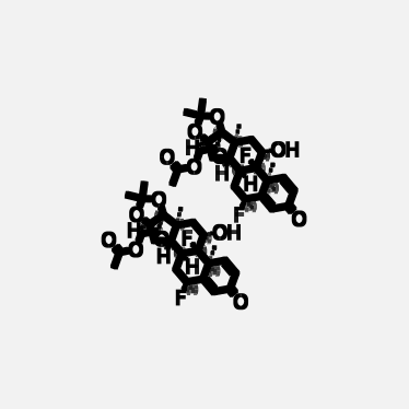 CC(=O)OCC(=O)[C@@]12OC(C)(C)O[C@@H]1C[C@H]1[C@@H]3C[C@H](F)C4=CC(=O)C=C[C@]4(C)[C@@]3(F)[C@@H](O)C[C@@]12C.CC(=O)OCC(=O)[C@@]12OC(C)(C)O[C@@H]1C[C@H]1[C@@H]3C[C@H](F)C4=CC(=O)C=C[C@]4(C)[C@@]3(F)[C@@H](O)C[C@@]12C